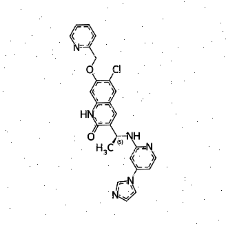 C[C@H](Nc1cc(-n2ccnc2)ccn1)c1cc2cc(Cl)c(OCc3ccccn3)cc2[nH]c1=O